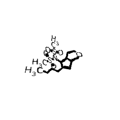 CCCCc1cc2coccc-2c1N(S(C)(=O)=O)S(C)(=O)=O